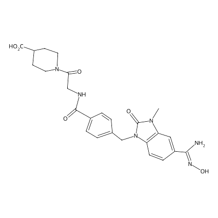 Cn1c(=O)n(Cc2ccc(C(=O)NCC(=O)N3CCC(C(=O)O)CC3)cc2)c2ccc(/C(N)=N/O)cc21